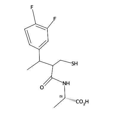 CC(c1ccc(F)c(F)c1)C(CS)C(=O)N[C@@H](C)C(=O)O